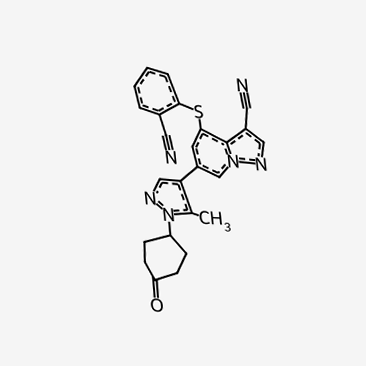 Cc1c(-c2cc(Sc3ccccc3C#N)c3c(C#N)cnn3c2)cnn1C1CCC(=O)CC1